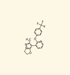 Cc1nn2c(c1-c1cccnc1Oc1ccc(C(F)(F)F)cc1)OCC2